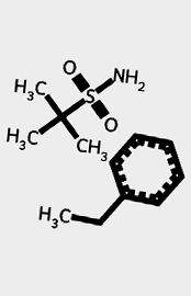 CC(C)(C)S(N)(=O)=O.CCc1ccccc1